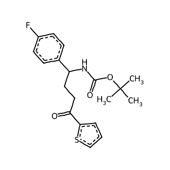 CC(C)(C)OC(=O)NC(CCC(=O)c1cccs1)c1ccc(F)cc1